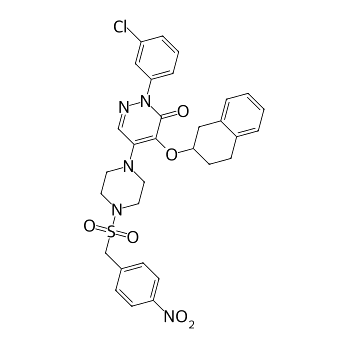 O=c1c(OC2CCc3ccccc3C2)c(N2CCN(S(=O)(=O)Cc3ccc([N+](=O)[O-])cc3)CC2)cnn1-c1cccc(Cl)c1